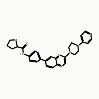 O=C(Nc1ccc(-c2ccc3ncc(N4CCN(c5ccncc5)CC4)nc3c2)cc1)C1CCCO1